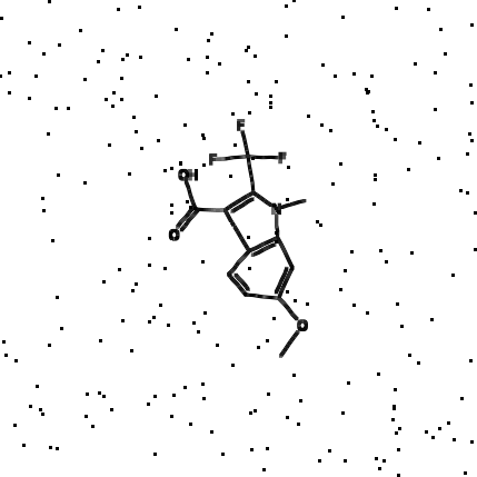 COc1ccc2c(C(=O)O)c(C(F)(F)F)n(C)c2c1